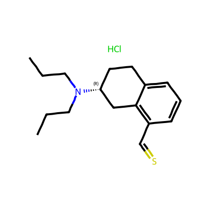 CCCN(CCC)[C@@H]1CCc2cccc(C=S)c2C1.Cl